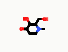 Cn1ccc(=O)c(O)c1CO